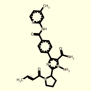 C/C=C/C(=O)N1CCCC1c1nc(-c2ccc(C(=O)Nc3cc(C)ccn3)cc2)c(C(N)=O)n1N